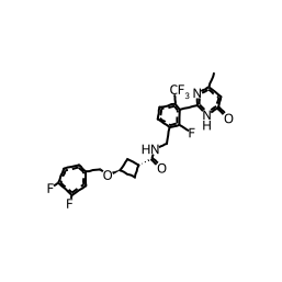 Cc1cc(=O)[nH]c(-c2c(C(F)(F)F)ccc(CNC(=O)[C@H]3C[C@H](OCc4ccc(F)c(F)c4)C3)c2F)n1